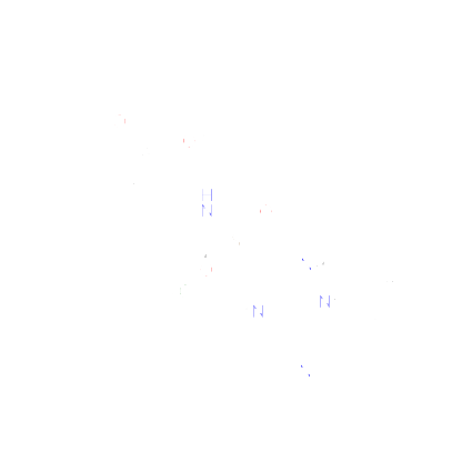 COC(=O)c1cccc(Cl)c1NS(=O)(=O)c1nc2nccc(C)n2n1